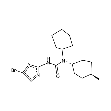 C[C@H]1CC[C@H](N(C(=O)Nc2ncc(Br)s2)C2CCCCC2)CC1